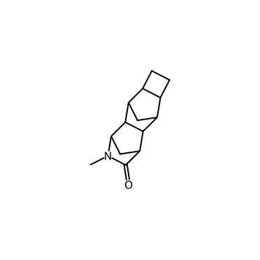 CN1C(=O)C2CC1C1C3CC(C4CCC43)C21